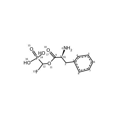 N[C@@H](Cc1ccccc1)C(=O)OC(F)P(=O)(O)O